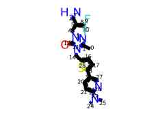 Cc1nn(CC(CN)=C(F)F)c(=O)n1Cc1ccc(-c2ccc(N(C)C)nc2)s1